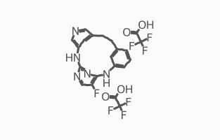 Fc1cnc2nc1Nc1cccc(c1)CCc1cncc(c1)N2.O=C(O)C(F)(F)F.O=C(O)C(F)(F)F